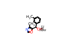 Cc1cccc(C(O)c2ocnc2C)c1.[Li][CH2]CCC